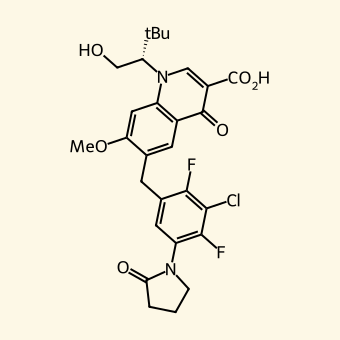 COc1cc2c(cc1Cc1cc(N3CCCC3=O)c(F)c(Cl)c1F)c(=O)c(C(=O)O)cn2[C@H](CO)C(C)(C)C